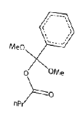 CCCC(=O)OC(OC)(OC)c1ccccc1